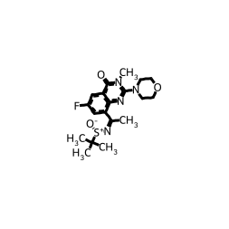 C/C(=N/[S+]([O-])C(C)(C)C)c1cc(F)cc2c(=O)n(C)c(N3CCOCC3)nc12